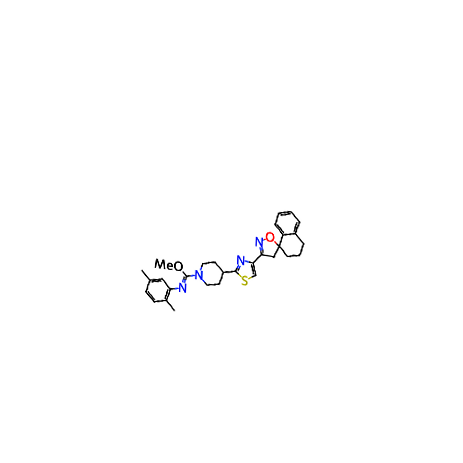 COC(=Nc1cc(C)ccc1C)N1CCC(c2nc(C3=NOC4(CCCc5ccccc54)C3)cs2)CC1